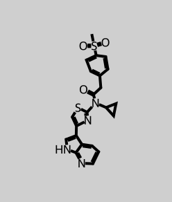 CS(=O)(=O)c1ccc(CC(=O)N(c2nc(-c3c[nH]c4ncccc34)cs2)C2CC2)cc1